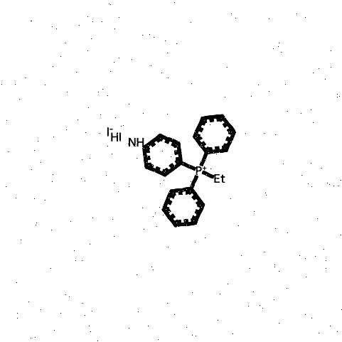 CC[P+](c1ccccc1)(c1ccccc1)c1ccccc1.I.N.[I-]